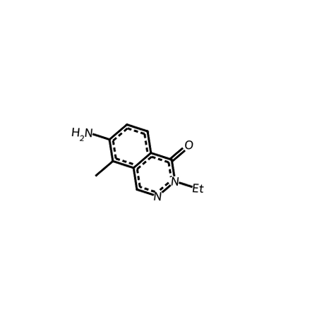 CCn1ncc2c(C)c(N)ccc2c1=O